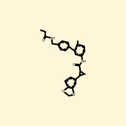 CCC(=O)NCc1ccc(-c2cc(NC(=O)C3CC3c3ccc4c(c3)OCO4)ccc2C)cc1